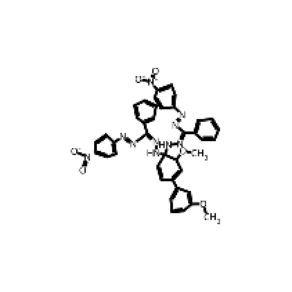 COc1cccc(C2=CC(OC)C(NN=C(N=Nc3ccc([N+](=O)[O-])cc3)c3ccccc3)(NN=C(N=Nc3ccc([N+](=O)[O-])cc3)c3ccccc3)C=C2)c1